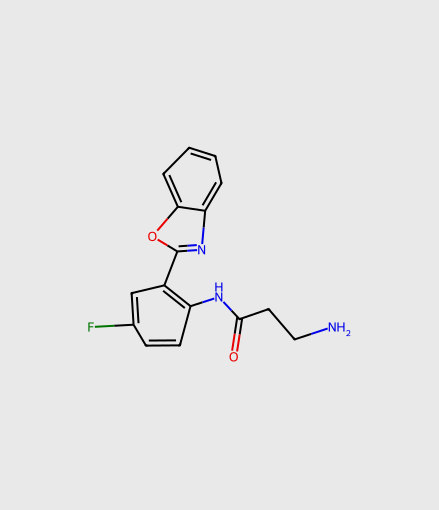 NCCC(=O)Nc1ccc(F)cc1-c1nc2ccccc2o1